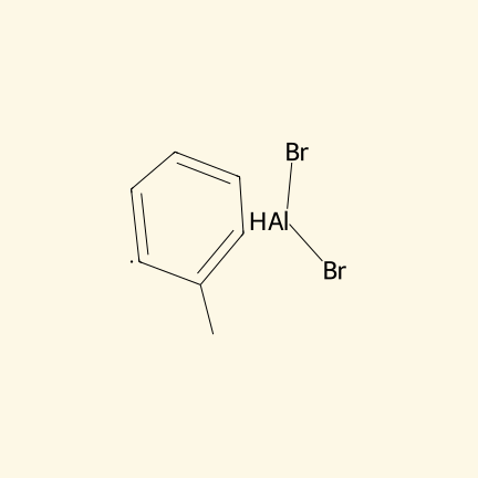 Cc1[c]cccc1.[Br][AlH][Br]